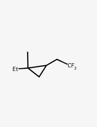 CCC1(C)CC1CC(F)(F)F